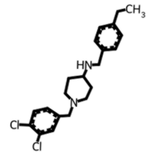 CCc1ccc(CNC2CCN(Cc3ccc(Cl)c(Cl)c3)CC2)cc1